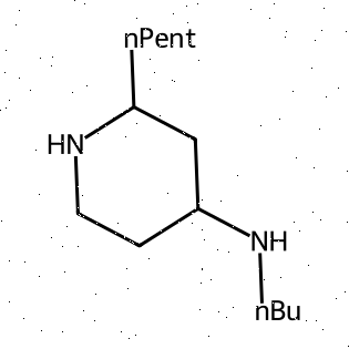 CCCCCC1CC(NCCCC)CCN1